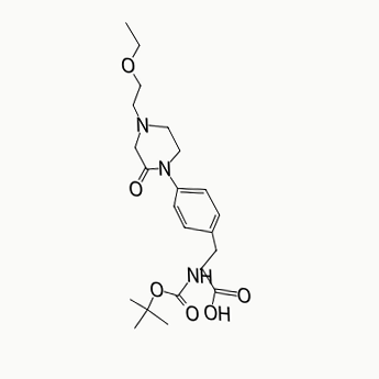 CCOCCN1CCN(c2ccc(CC(NC(=O)OC(C)(C)C)C(=O)O)cc2)C(=O)C1